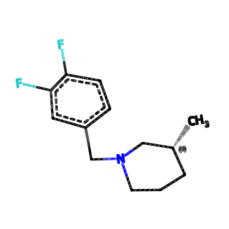 C[C@@H]1CCCN(Cc2ccc(F)c(F)c2)C1